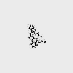 CC=CCc1nc(Cl)c(CO)n1Cc1ccc(-c2ccccc2C(=O)OC)cc1